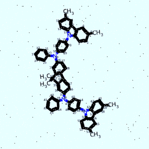 Cc1ccc2c(c1)c1cc(C)ccc1n2-c1ccc(N(c2ccccc2)c2ccc3c(c2)C(C)(C)c2cc(N(c4ccccc4)c4ccc(-n5c6ccc(C)cc6c6cc(C)ccc65)cc4)ccc2-3)cc1